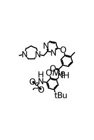 COc1c(NC(=O)c2ccc(C)c(Oc3ccnc(CN4CCCN(C)CC4)n3)c2)cc(C(C)(C)C)cc1NS(C)(=O)=O